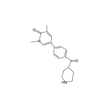 Cc1cc(-c2ccc(C(=O)C3CCNCC3)cc2)cn(C)c1=O